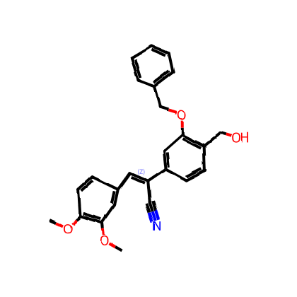 COc1ccc(/C=C(\C#N)c2ccc(CO)c(OCc3ccccc3)c2)cc1OC